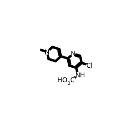 CN1CC=C(c2cc(NC(=O)O)c(Cl)cn2)CC1